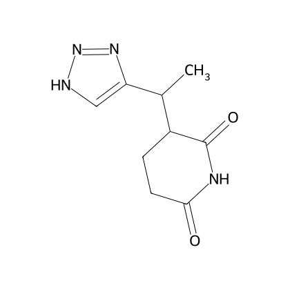 CC(c1c[nH]nn1)C1CCC(=O)NC1=O